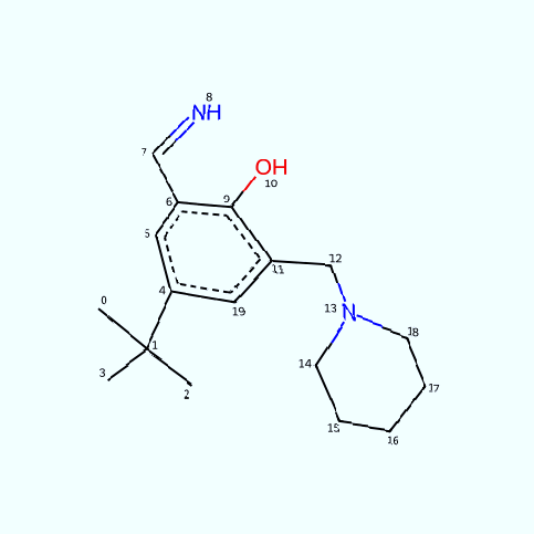 CC(C)(C)c1cc(C=N)c(O)c(CN2CCCCC2)c1